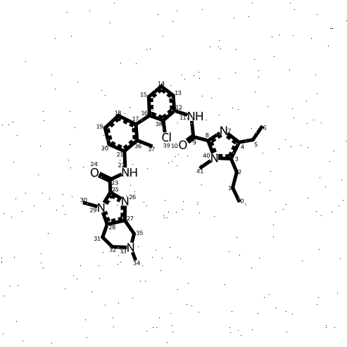 CCCc1c(CC)nc(C(=O)Nc2cccc(-c3cccc(NC(=O)c4nc5c(n4C)CCN(C)C5)c3C)c2Cl)n1C